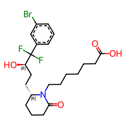 O=C(O)CCCCCCN1C(=O)CCC[C@@H]1CC[C@@H](O)C(F)(F)c1cccc(Br)c1